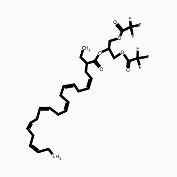 CC/C=C\C/C=C\C/C=C\C/C=C\C/C=C\C/C=C\CC(CC)C(=O)OC(COC(=O)C(F)(F)F)COC(=O)C(F)(F)F